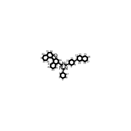 c1ccc(-c2nc(-c3ccc(-c4ccc5ccccc5c4)cc3)nc(-c3cc4oc5ccc6ccccc6c5c4c4ccccc34)n2)cc1